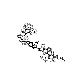 COC(=O)NC(C(=O)N1CCCC1C1=NCC(c2cc3cc4[nH]c(-c5cnc(C6CCCN6C(=O)[C@@H](NC(=O)OC)C(C)C)[nH]5)cc4cc3[nH]2)N1)C(C)C